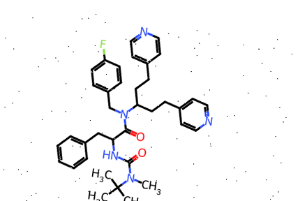 CN(C(=O)NC(Cc1ccccc1)C(=O)N(Cc1ccc(F)cc1)C(CCc1ccncc1)CCc1ccncc1)C(C)(C)C